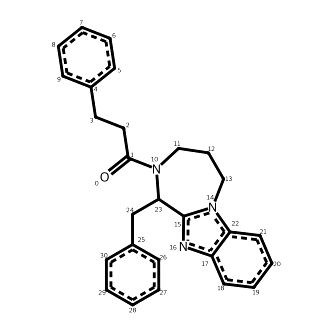 O=C(CCc1ccccc1)N1CCCn2c(nc3ccccc32)C1Cc1ccccc1